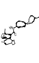 Cc1oc2c(c1C(=O)Nc1ccc(N3CCC(C)CC3)cc1)C1=NCCN1C=N2